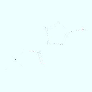 CC(C)(C)OC(=O)n1cc(Br)cn1